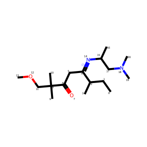 CCC(C)/C(CC(=O)C(C)(C)COC)=N\C(C)CN(C)C